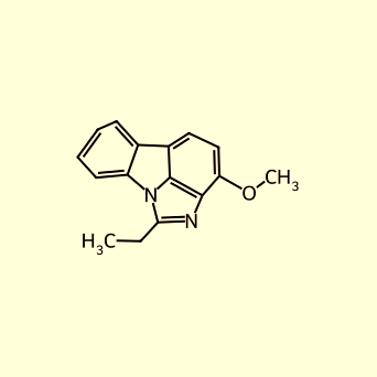 CCc1nc2c(OC)ccc3c4ccccc4n1c23